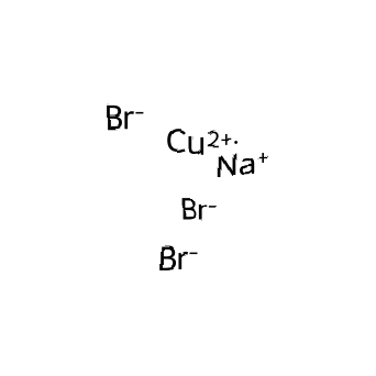 [Br-].[Br-].[Br-].[Cu+2].[Na+]